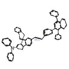 C1=Cc2c(-c3ccccc3)cc(-c3ccc(/C=C/c4ccc5c(c4)C4(Cc6ccccc6C4)C4=C5CCC(N(c5ccccc5)c5ccccc5)=C4)cc3)c(-c3ccccc3)c2CC1